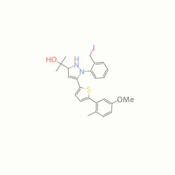 COc1ccc(C)c(-c2ccc(C3=CC(C(C)(C)O)NN3c3ccccc3CI)s2)c1